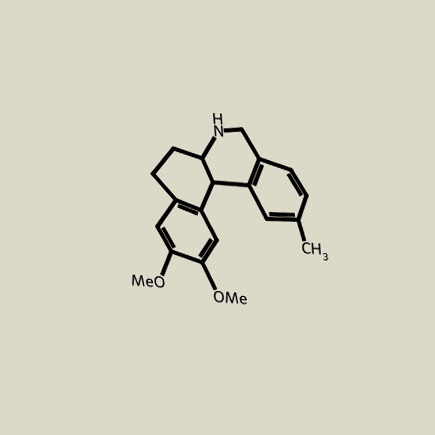 COc1cc2c(cc1OC)C1c3cc(C)ccc3CNC1CC2